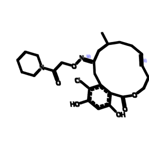 CC1CC/C=C/CCOC(=O)c2c(O)cc(O)c(Cl)c2C/C(=N\OCC(=O)N2CCCCC2)C1